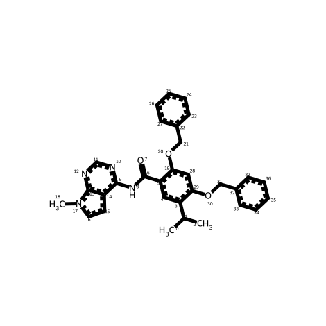 CC(C)c1cc(C(=O)Nc2ncnc3c2ccn3C)c(OCc2ccccc2)cc1OCc1ccccc1